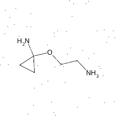 NCCOC1(N)CC1